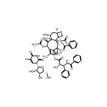 CC(=O)O[C@H]1C(=O)[C@@]2(C)[C@H]([C@H](OC(=O)c3ccccc3)[C@]3(O)C[C@H](OC(=O)[C@H](O)[C@@H](NC(=O)c4ccccc4)c4ccccc4)C(C)=C1C3(C)C)[C@]1(OC(C)=O)CO[C@@H]1C[C@@H]2O.O=c1[nH]c(=O)n([C@@H]2O[C@H](CO)[C@@H](O)[C@H]2O)cc1F